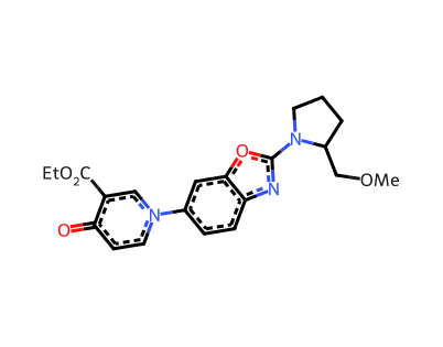 CCOC(=O)c1cn(-c2ccc3nc(N4CCCC4COC)oc3c2)ccc1=O